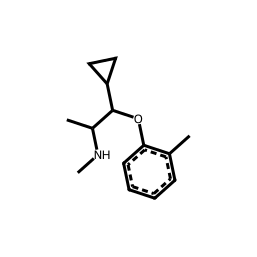 CNC(C)C(Oc1ccccc1C)C1CC1